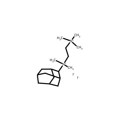 C[N+](C)(C)CC[N+](C)(C)C1C2CC3CC(C2)CC1C3.[I-].[I-]